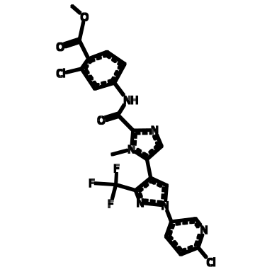 COC(=O)c1ccc(NC(=O)c2ncc(-c3cn(-c4ccc(Cl)nc4)nc3C(F)(F)F)n2C)cc1Cl